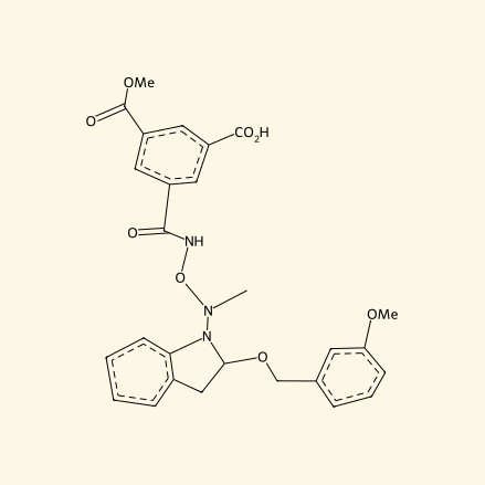 COC(=O)c1cc(C(=O)O)cc(C(=O)NON(C)N2c3ccccc3CC2OCc2cccc(OC)c2)c1